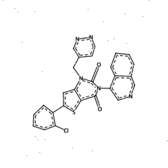 O=c1c2sc(-c3ccccc3Cl)cc2n(Cc2ccnnc2)c(=O)n1-c1cncc2ccccc12